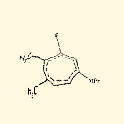 CCCc1cc(C)c(C)c(F)c1